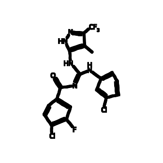 Cc1c(C(F)(F)F)n[nH]c1N/C(=N\C(=O)c1ccc(Cl)c(F)c1)Nc1cccc(Cl)c1